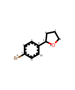 Brc1ccc(C2CCCO2)cc1